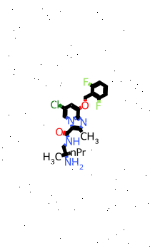 CCCC(C)(N)CNC(=O)c1c(C)nc2c(OCc3c(F)cccc3F)cc(Cl)cn12